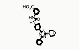 O=C(Nc1ccc(-c2nc(-c3ccccc3)nc(N3CCOCC3)n2)cc1)Nc1cccc(C(=O)O)c1